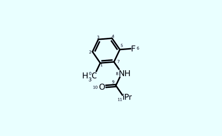 Cc1cccc(F)c1NC(=O)C(C)C